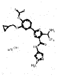 CC(N)c1oc(-c2ccc(OC(F)F)c(OCC3CC3)c2)nc1C(=O)Nc1cnn(C)c1.Cl.Cl